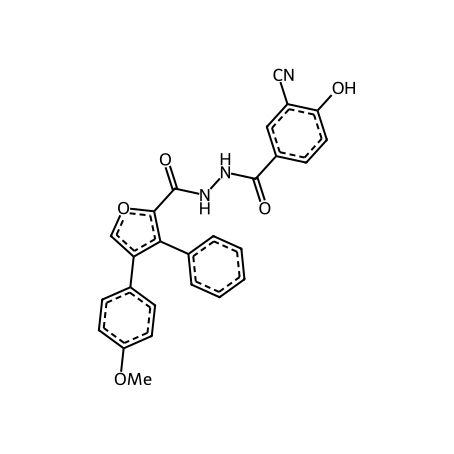 COc1ccc(-c2coc(C(=O)NNC(=O)c3ccc(O)c(C#N)c3)c2-c2ccccc2)cc1